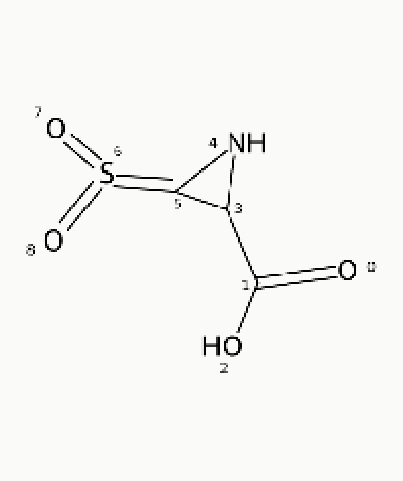 O=C(O)C1NC1=S(=O)=O